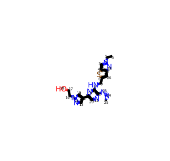 CCn1cc2sc(CNc3nc(-c4cnn(CCO)c4)cnc3/N=N\C)cc2n1